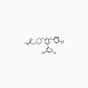 COC(=O)CC1CCN(Cc2cc(-c3cc(Cl)cc(Cl)c3)nc(Oc3ccc(Cl)nn3)c2C)CC1